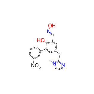 Cn1ccnc1Cc1cc(/C=N/O)c(O)c(-c2cccc([N+](=O)[O-])c2)c1